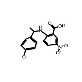 CC(Nc1ccc([N+](=O)[O-])cc1C(=O)O)c1ccc(Cl)cc1